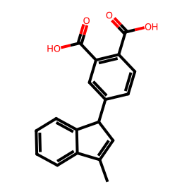 CC1=CC(c2ccc(C(=O)O)c(C(=O)O)c2)c2ccccc21